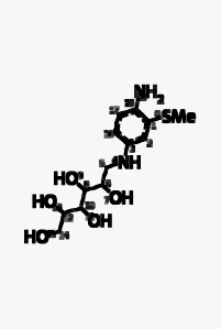 CSc1cc(NCC(O)C(O)C(O)C(O)CO)ccc1N